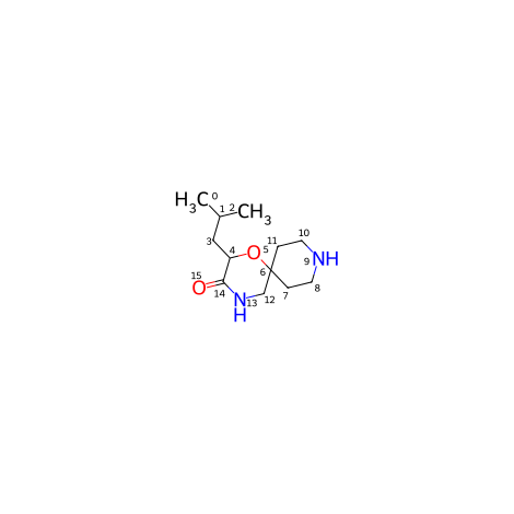 CC(C)CC1OC2(CCNCC2)CNC1=O